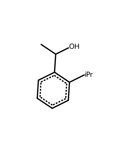 CC(C)c1ccccc1C(C)O